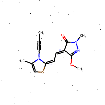 CC#CN1C(C)=CS/C1=C/C=C1/C(=O)N(C)N=C1OC